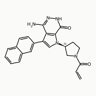 C=CC(=O)N1CC[C@H](n2cc(-c3ccc4ccccc4c3)c3c(N)n[nH]c(=O)c32)C1